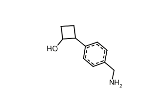 NCc1ccc(C2CCC2O)cc1